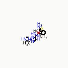 C[C@H]1CNCCN1c1nccc(C(=N)NC(=O)[C@@]2(C)CCCc3sc(N)c(C#N)c32)n1